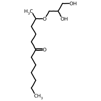 CCCCCCC(=O)CCCC(C)OCC(O)CO